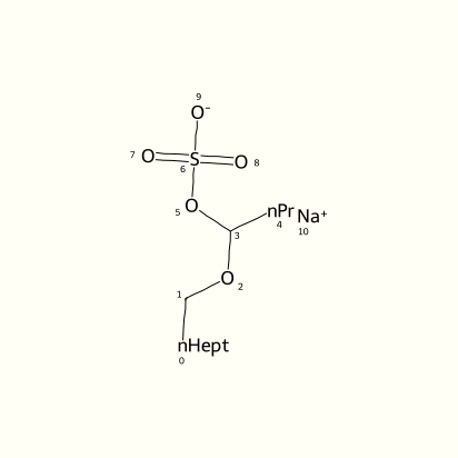 CCCCCCCCOC(CCC)OS(=O)(=O)[O-].[Na+]